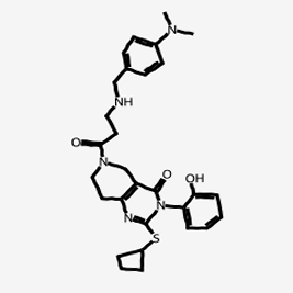 CN(C)c1ccc(CNCCC(=O)N2CCc3nc(SC4CCC4)n(-c4ccccc4O)c(=O)c3C2)cc1